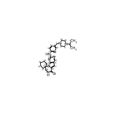 CC(C)N1CCN(Cc2ccc(Nc3ncc4cc5n(c4n3)C3(CCCCC3)CNC5=O)nc2)CC1